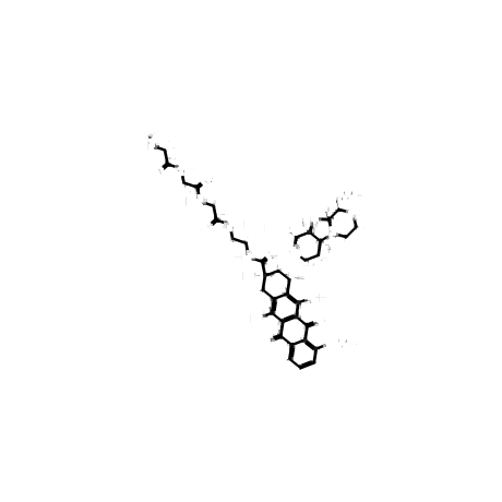 COc1cccc2c1C(=O)c1c(O)c3c(c(O)c1C2=O)C[C@@](O)(C(=O)NCCNC(=O)CNC(=O)CNC(=O)CNC(=O)O)C[C@@H]3O[C@H]1C[C@H]2[C@H](O[C@@H]3[C@@H](OC)OCCN32)[C@H](C)O1